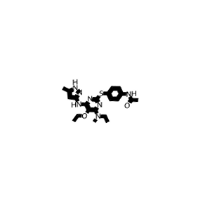 CCOc1c(Nc2cc(C)[nH]n2)nc(Sc2ccc(NC(C)=O)cc2)nc1N(C)CC